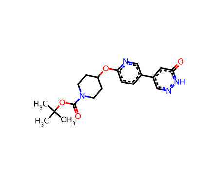 CC(C)(C)OC(=O)N1CCC(Oc2ccc(-c3cn[nH]c(=O)c3)cn2)CC1